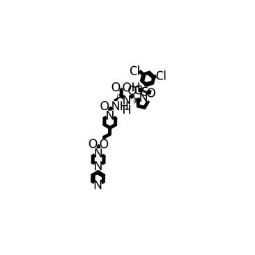 O=C(O)[C@H](CNC(=O)N1CCC(CCOC(=O)N2CCN(c3ccncc3)CC2)CC1)NC(=O)[C@H]1CCCN1S(=O)(=O)c1cc(Cl)cc(Cl)c1